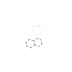 CCOC1(CC)CCCC[Si]1(OCC)OCC.COc1cccc2ccccc12